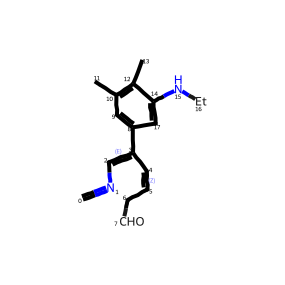 C=N/C=C(\C=C/CC=O)c1cc(C)c(C)c(NCC)c1